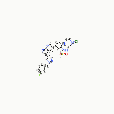 CS(=O)(=O)Nc1cc(-c2cnc3[nH]cc(-c4cnn(Cc5cccc(F)c5)c4)c3c2)ccc1N1CCN(Cl)CC1